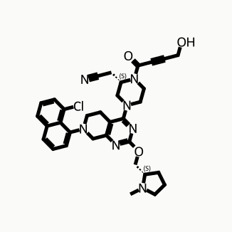 CN1CCC[C@H]1COc1nc2c(c(N3CCN(C(=O)C#CCO)[C@@H](CC#N)C3)n1)CCN(c1cccc3cccc(Cl)c13)C2